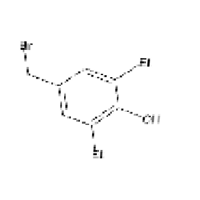 CCc1cc(CBr)cc(CC)c1O